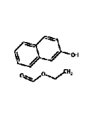 CCOC=O.Oc1ccc2ccccc2c1